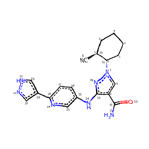 N#C[C@H]1CCCC[C@@H]1n1cc(C(N)=O)c(Nc2ccc(-c3cn[nH]c3)nc2)n1